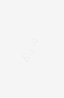 Cc1cnc2c(C(F)(F)F)cccc2c1-c1cccc(CNc2ccc(CC(=O)O)c(C)c2C)c1